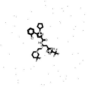 O=C(N[C@@H](CCN1CCCC(F)(F)C1)Cc1nnc(C(F)(F)F)[nH]1)c1cc(-c2ccccc2Cl)n(C2CCCC2)n1